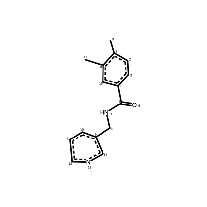 Cc1ccc(C(=O)NCc2cccnc2)cc1C